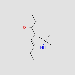 CCC(=CCC(=O)C(C)C)NC(C)(C)C